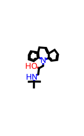 CC(C)(C)NCC(O)CN1C2=CC=CCC2=CCc2ccccc21